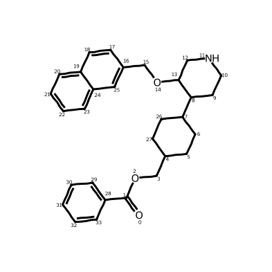 O=C(OCC1CCC(C2CCNCC2OCc2ccc3ccccc3c2)CC1)c1ccccc1